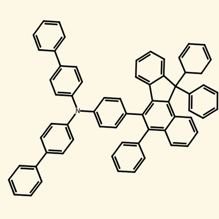 C1=CCC(C2(c3ccccc3)c3ccccc3-c3c(-c4ccc(N(c5ccc(-c6ccccc6)cc5)c5ccc(-c6ccccc6)cc5)cc4)c(-c4ccccc4)c4ccccc4c32)C=C1